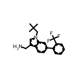 CC(C)(C)Cn1cc(CN)c2ccc(-c3ccccc3C(F)(F)F)cc21